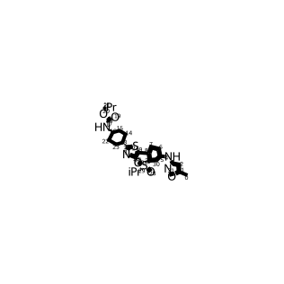 Cc1cc(Nc2ccc(-c3cnc([C@H]4CC[C@H](NC(=O)OC(C)C)CC4)s3)c(S(=O)(=O)C(C)C)c2)no1